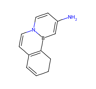 NC1=CB2C3=C(C=CCC3)C=CN2C=C1